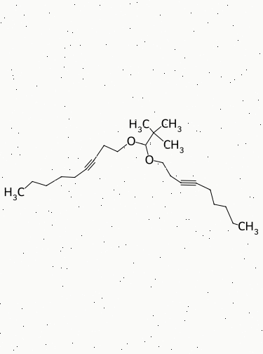 CCCCCC#CCCOC(OCCC#CCCCCC)C(C)(C)C